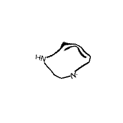 C1=CNC[N]1